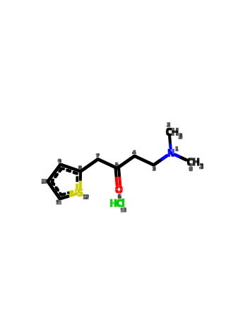 CN(C)CCC(=O)Cc1cccs1.Cl